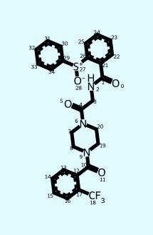 O=C(NCC(=O)N1CCN(C(=O)c2ccccc2C(F)(F)F)CC1)c1ccccc1[S+]([O-])c1ccccc1